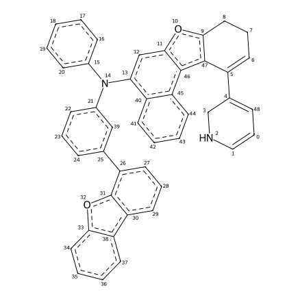 C1=CNCC(C2=CCCc3oc4cc(N(c5ccccc5)c5cccc(-c6cccc7c6oc6ccccc67)c5)c5ccccc5c4c32)=C1